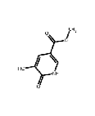 COC(=O)c1c[nH]c(=O)c(O)c1